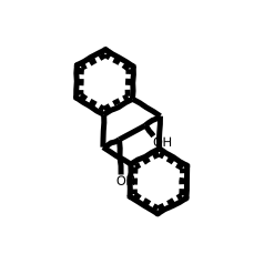 OC1C2c3ccccc3C(c3ccccc32)C1O